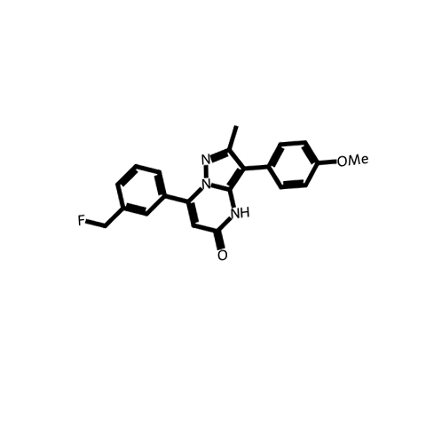 COc1ccc(-c2c(C)nn3c(-c4cccc(CF)c4)cc(=O)[nH]c23)cc1